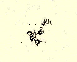 CC1(C)OC[C@@H](COc2cc(NC(=O)N3c4nc(-c5cncc(C(F)(F)F)c5)c(Cl)cc4N4CC[C@H]3C4)ccn2)O1